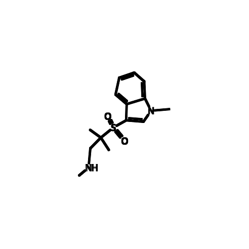 CNCC(C)(C)S(=O)(=O)c1cn(C)c2ccccc12